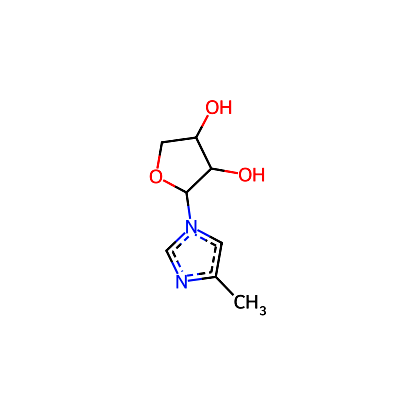 Cc1cn(C2OCC(O)C2O)cn1